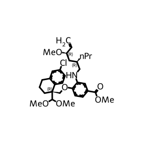 C=C[C@@H](C[C@@H](CCC)CNc1cc(C(=O)OC)ccc1OC[C@@]1(C(OC)OC)CCCc2cc(Cl)ccc21)OC